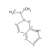 CC(C)C1C=Cc2cccnc2C1